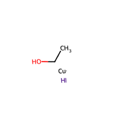 CCO.I.[Cu]